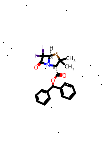 CC1(C)S[C@H]2N(C(=O)C2(I)I)[C@H]1C(=O)OC(c1ccccc1)c1ccccc1